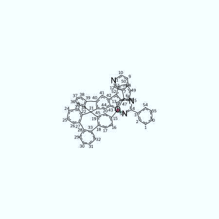 c1ccc(-c2nc(-c3cccnc3)cc(-c3ccc4c(c3)C3(c5ccccc5-c5ccccc5-4)c4ccccc4-c4cc5c(cc43)oc3ccccc35)n2)cc1